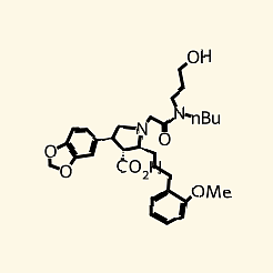 CCCCN(CCCO)C(=O)CN1C[C@H](c2ccc3c(c2)OCO3)[C@@H](C(=O)O)[C@@H]1CCCc1ccccc1OC